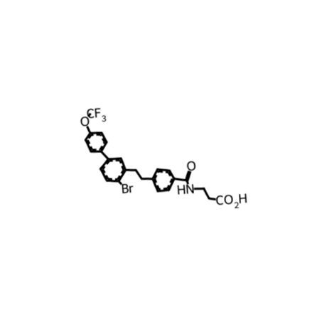 O=C(O)CCNC(=O)c1ccc(CCc2cc(-c3ccc(OC(F)(F)F)cc3)ccc2Br)cc1